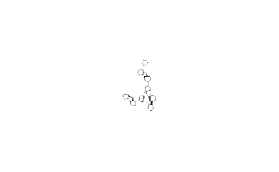 c1ccc(-c2cccc3c2oc2ccc(-c4ccc(N(c5ccc(-c6cccc7c6sc6ccccc67)cc5)c5cccc6c5oc5ccccc56)cc4)cc23)cc1